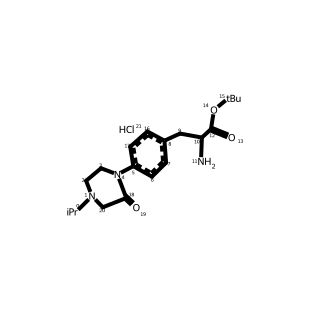 CC(C)N1CCN(c2ccc(CC(N)C(=O)OC(C)(C)C)cc2)C(=O)C1.Cl